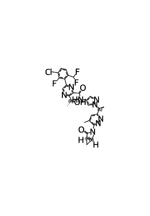 Cc1cc([C@H](C)n2cc(NC(=O)c3nc(-c4c(C(F)F)ccc(Cl)c4F)cnc3[C@@H](C)O)cn2)nnc1N1C[C@H]2C[C@H]2C1=O